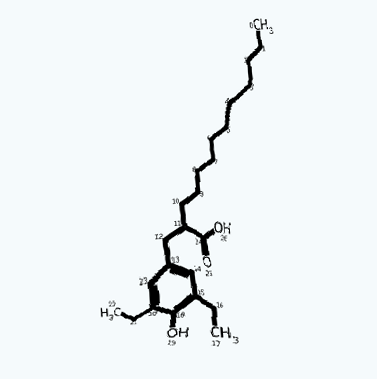 CCCCCCCCCCCC(Cc1cc(CC)c(O)c(CC)c1)C(=O)O